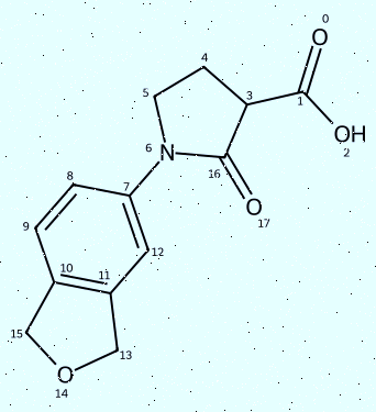 O=C(O)C1CCN(c2ccc3c(c2)COC3)C1=O